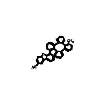 Cc1cccc2c1-c1ccccc1-c1cccc(-c3cccc4c3oc3ccc(C#N)cc34)c1-c1ccccc1-2